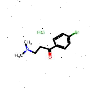 CN(C)CCC(=O)c1ccc(Br)cc1.Cl